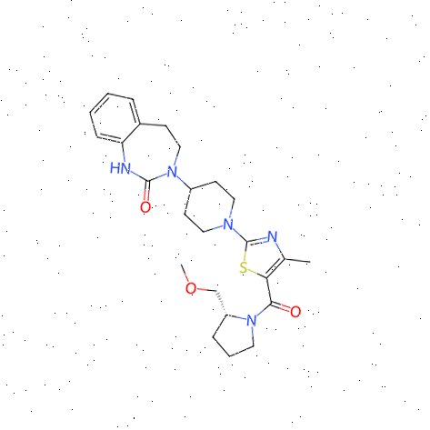 COC[C@H]1CCCN1C(=O)c1sc(N2CCC(N3CCc4ccccc4NC3=O)CC2)nc1C